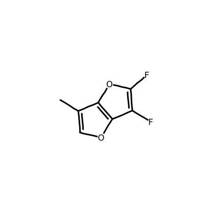 Cc1coc2c(F)c(F)oc12